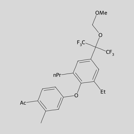 CCCc1cc(C(OCOC)(C(F)(F)F)C(F)(F)F)cc(CC)c1Oc1ccc(C(C)=O)c(C)c1